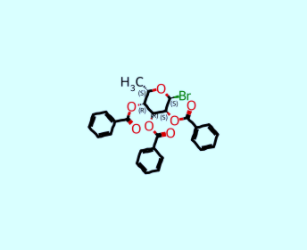 C[C@@H]1O[C@@H](Br)[C@@H](OC(=O)c2ccccc2)[C@H](OC(=O)c2ccccc2)[C@@H]1OC(=O)c1ccccc1